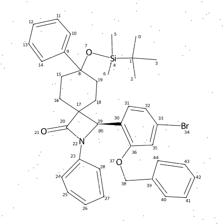 CC(C)(C)[Si](C)(C)OC1(c2ccccc2)CCC2(CC1)C(=O)N(c1ccccc1)[C@@H]2c1ccc(Br)cc1OCc1ccccc1